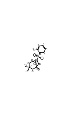 Cc1ccccc1S(=O)(=O)N1CC2(C)CC1CC(C)(C)C2